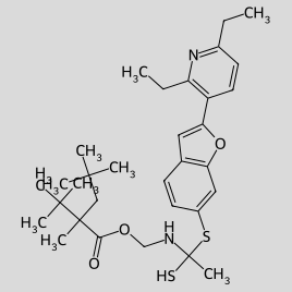 CCc1ccc(-c2cc3ccc(SC(C)(S)NCOC(=O)C(C)(CC(C)(C)C)C(C)(C)C)cc3o2)c(CC)n1